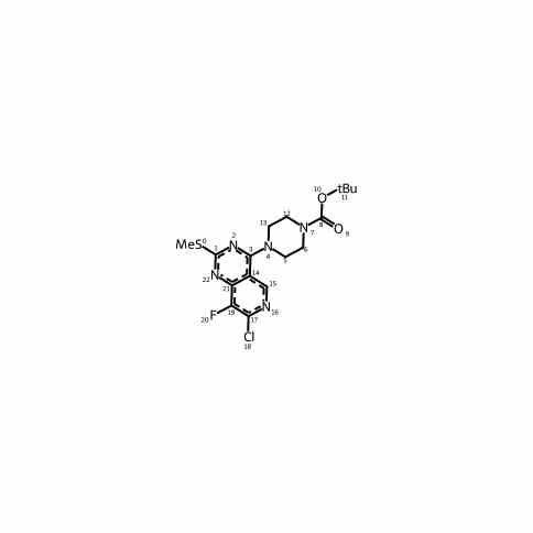 CSc1nc(N2CCN(C(=O)OC(C)(C)C)CC2)c2cnc(Cl)c(F)c2n1